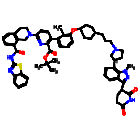 Cc1c(OC2CCC(CCCN3CC[C@@H](c4cccc5c(C6CCC(=O)NC6=O)nn(C)c45)C3)CC2)cccc1-c1ccc(N2CCc3cccc(C(=O)Nc4nc5ccccc5s4)c3C2)nc1C(=O)OC(C)(C)C